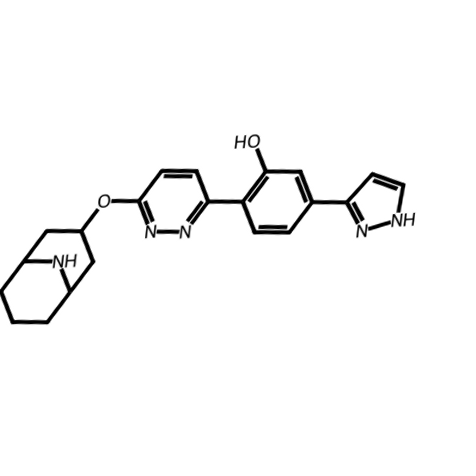 Oc1cc(-c2cc[nH]n2)ccc1-c1ccc(OC2CC3CCCC(C2)N3)nn1